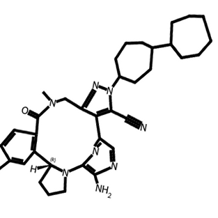 CN1Cc2nn(C3CCCC(C4CCCCCC4)CC3)c(C#N)c2-c2cnc(N)c(n2)N2CCC[C@@H]2c2cc(F)ccc2C1=O